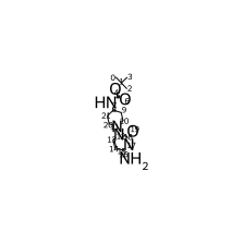 CC(C)(C)OC(=O)NC1CCN(n2ccc(N)nc2=O)CC1